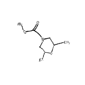 CCC1CN(C(=O)OC(C)(C)C)CC(C)O1